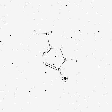 COC(=O)CC(C)C(=O)O